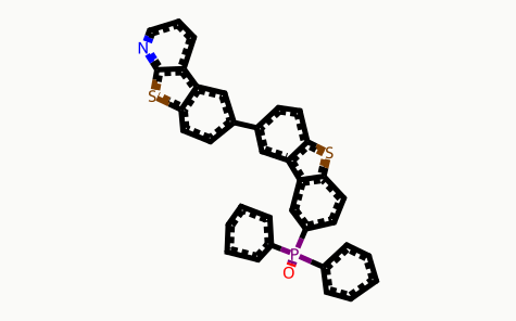 O=P(c1ccccc1)(c1ccccc1)c1ccc2sc3ccc(-c4ccc5sc6ncccc6c5c4)cc3c2c1